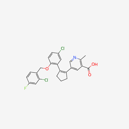 Cc1ncc(C2=C(c3cc(Cl)ccc3OCc3ccc(F)cc3Cl)CCC2)cc1C(=O)O